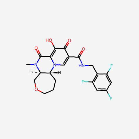 CN1C(=O)c2c(O)c(=O)c(C(=O)NCc3c(F)cc(F)cc3F)cn2[C@@H]2CCCOC[C@H]21